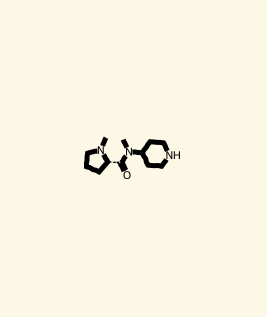 CN(C(=O)[C@@H]1CCCN1C)C1CCNCC1